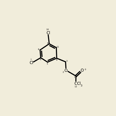 O=C(OCc1cc(Cl)cc(Cl)c1)C(Cl)(Cl)Cl